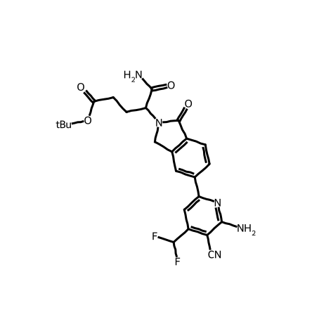 CC(C)(C)OC(=O)CCC(C(N)=O)N1Cc2cc(-c3cc(C(F)F)c(C#N)c(N)n3)ccc2C1=O